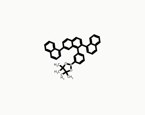 CC1(C)OB(c2cccc(-c3c(-c4cccc5ccccc45)ccc4ccc(-c5cccc6ccccc56)cc34)c2)OC1(C)C